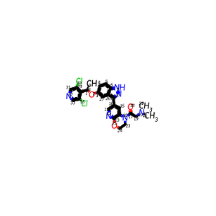 C[C@@H](Oc1ccc2[nH]nc(-c3cnc4c(c3)N(C(=O)CN(C)C)CCO4)c2c1)c1c(Cl)cncc1Cl